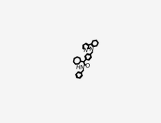 O=C(NCc1ccccc1)C(c1ccc(Cn2c3c(c4cccnc42)CCCC3)cc1)C1CCCCCC1